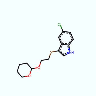 Clc1ccc2[nH]cc(SCCOC3CCCCO3)c2c1